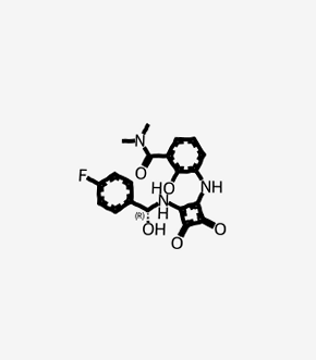 CN(C)C(=O)c1cccc(Nc2c(N[C@H](O)c3ccc(F)cc3)c(=O)c2=O)c1O